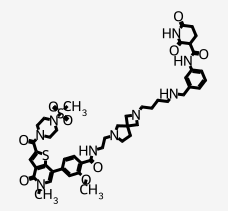 COc1cc(-c2cn(C)c(=O)c3cc(C(=O)N4CCN(S(C)(=O)=O)CC4)sc23)ccc1C(=O)NCCN1CCC2(C1)CN(CCCCNCc1cccc(NC(=O)C3CCC(=O)NC3=O)c1)C2